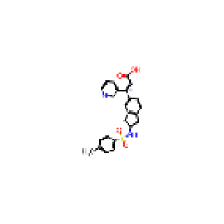 Cc1ccc(S(=O)(=O)NC2Cc3ccc(/C(=C/C(=O)O)c4cccnc4)cc3C2)cc1